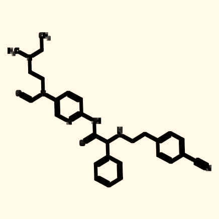 CCN(C)CCN(C=O)c1ccc(NC(=O)C(NCCc2ccc(C#N)cc2)c2ccccc2)nc1